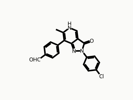 Cc1[nH]cc2c(=O)n(-c3ccc(Cl)cc3)nc-2c1-c1ccc(C=O)cc1